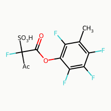 CC(=O)C(F)(C(=O)Oc1c(F)c(C)c(F)c(F)c1F)S(=O)(=O)O